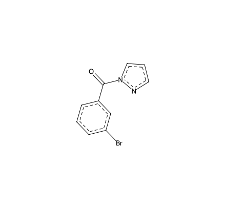 O=C(c1cccc(Br)c1)n1cccn1